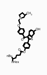 CCCCCCC(CCCC)CCCC(=O)Oc1ccc(-c2sc3cc(O)ccc3c2C(=O)c2ccc(OCCN3CCC(C)C3)cc2)cc1